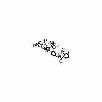 COc1ccccc1C(=O)NCc1ccc(-c2nn(CC3CCCNC3)c(N)c2C(N)=O)cc1